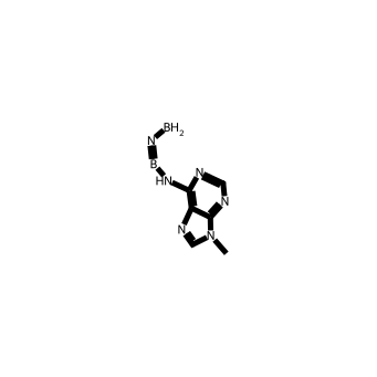 BN=BNc1ncnc2c1ncn2C